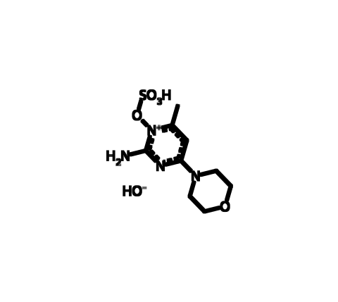 Cc1cc(N2CCOCC2)nc(N)[n+]1OS(=O)(=O)O.[OH-]